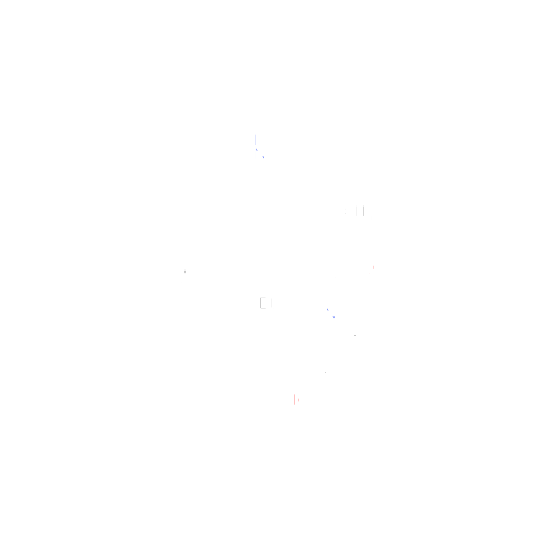 CCC1CC2(O)CC(C2)N1C(=O)CC(C)c1c[nH]c2ccc(C)cc12